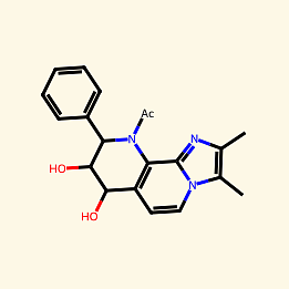 CC(=O)N1c2c(ccn3c(C)c(C)nc23)C(O)C(O)C1c1ccccc1